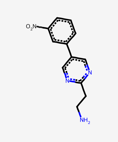 NCCc1ncc(-c2cccc([N+](=O)[O-])c2)cn1